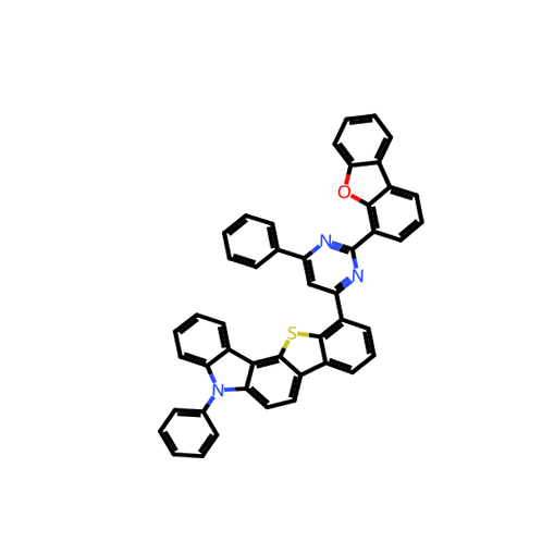 c1ccc(-c2cc(-c3cccc4c3sc3c4ccc4c3c3ccccc3n4-c3ccccc3)nc(-c3cccc4c3oc3ccccc34)n2)cc1